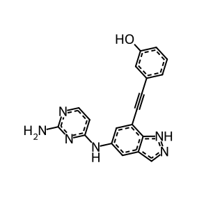 Nc1nccc(Nc2cc(C#Cc3cccc(O)c3)c3[nH]ncc3c2)n1